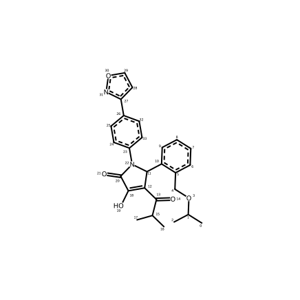 CC(C)OCc1ccccc1C1C(C(=O)C(C)C)=C(O)C(=O)N1c1ccc(-c2ccon2)cc1